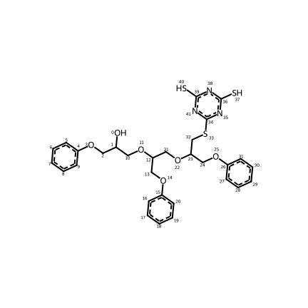 OC(COc1ccccc1)COC(COc1ccccc1)COC(COc1ccccc1)CSc1nc(S)nc(S)n1